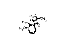 CC1C(S(=O)(=O)C(C)C)CCCN1C